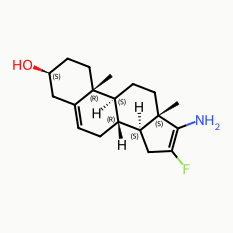 C[C@]12CC[C@H](O)CC1=CC[C@@H]1[C@@H]2CC[C@]2(C)C(N)=C(F)C[C@@H]12